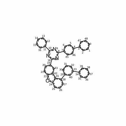 c1ccc(-c2ccc(-c3nc(-c4ccccc4)nc(-c4ccc5oc6cccc(-c7cccc(-c8ccccc8)c7)c6c5c4)n3)cc2)cc1